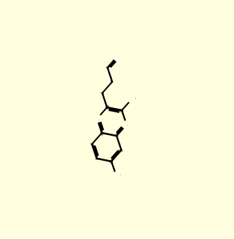 C=CCCc1nc2ccc(OC)cc2nc1SC